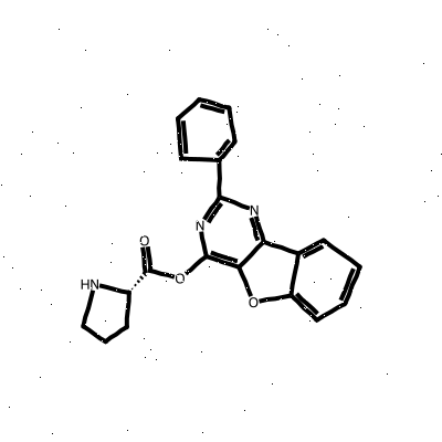 O=C(Oc1nc(-c2ccccc2)nc2c1oc1ccccc12)[C@@H]1CCCN1